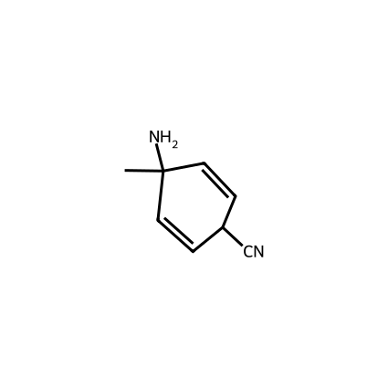 CC1(N)C=CC(C#N)C=C1